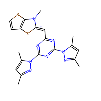 Cc1cc(C)n(-c2nc(/C=C3\Sc4ccsc4N3C)nc(-n3nc(C)cc3C)n2)n1